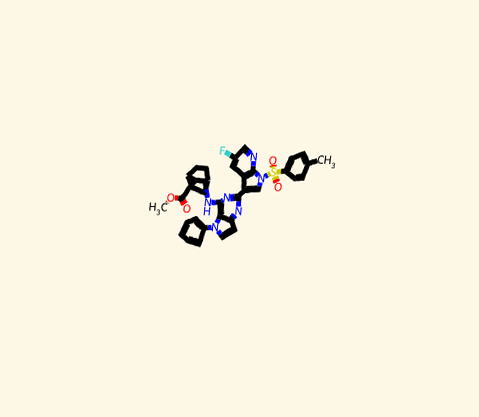 COC(=O)C1C2CCC(CC2)C1Nc1nc(-c2cn(S(=O)(=O)c3ccc(C)cc3)c3ncc(F)cc23)nc2ccn(-c3ccccc3)c12